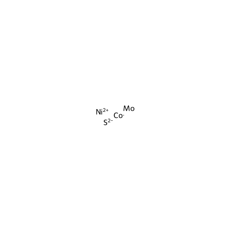 [Co].[Mo].[Ni+2].[S-2]